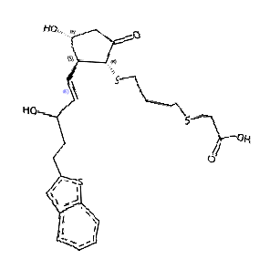 O=C(O)CSCCCS[C@H]1C(=O)C[C@@H](O)[C@@H]1/C=C/C(O)CCc1cc2ccccc2s1